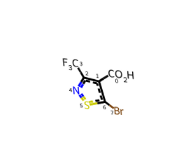 O=C(O)c1c(C(F)(F)F)nsc1Br